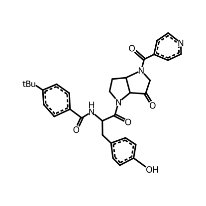 CC(C)(C)c1ccc(C(=O)NC(Cc2ccc(O)cc2)C(=O)N2CCC3C2C(=O)CN3C(=O)c2ccncc2)cc1